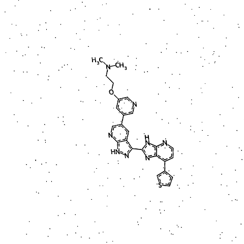 CN(C)CCOc1cncc(-c2cnc3[nH]nc(-c4nc5c(-c6ccsc6)ccnc5[nH]4)c3c2)c1